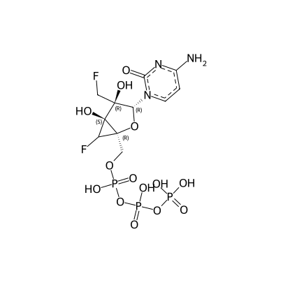 Nc1ccn([C@@H]2O[C@@]3(COP(=O)(O)OP(=O)(O)OP(=O)(O)O)C(F)[C@]3(O)[C@]2(O)CF)c(=O)n1